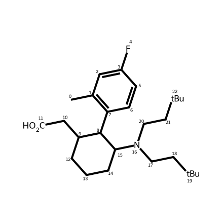 Cc1cc(F)ccc1C1C(CC(=O)O)CCCC1N(CCC(C)(C)C)CCC(C)(C)C